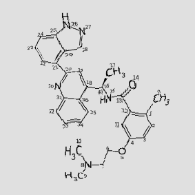 Cc1ccc(OCCN(C)C)cc1C(=O)N[C@H](C)c1cc(-c2cccc3[nH]ncc23)nc2ccccc12